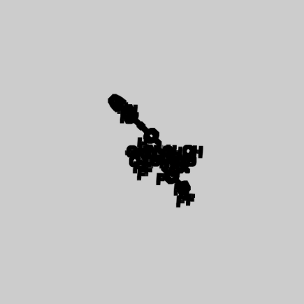 COC(=O)N[C@H](C(=O)N[C@@H](Cc1ccc(C#Cc2cnc(N3CC4CCC(C3)N4C3COC3)nc2)cc1)[C@@H](O)CN(Cc1c(F)cc(-c2ccn(C(F)F)n2)cc1F)NC(=O)[C@@H](NC(=O)O)C(C)(C)C)C(C)(C)C(F)(F)F